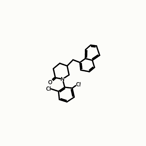 O=C1CCC(Cc2cccc3ccccc23)CN1c1c(Cl)cccc1Cl